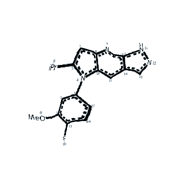 COc1cc(-n2c(C(C)C)cc3nc4[nH]ncc4cc32)ccc1F